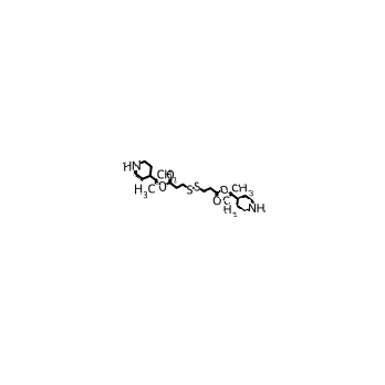 CC(C)(OC(=O)CCSSCCC(=O)OC(C)(C)C1CCNCC1)C1CCNCC1